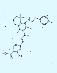 Cc1c2c(c(NCCc3ccc(F)cc3)c(C)c1C(=O)C=Cc1ccc(C(=O)O)c(O)c1)C(C)(C)CCC2